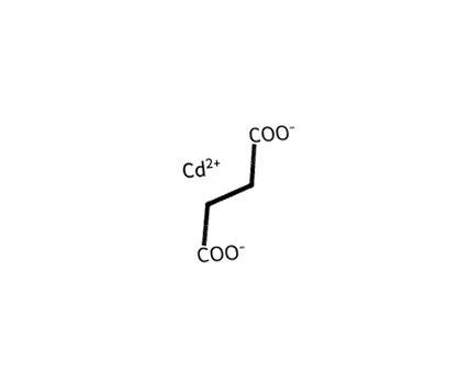 O=C([O-])CCC(=O)[O-].[Cd+2]